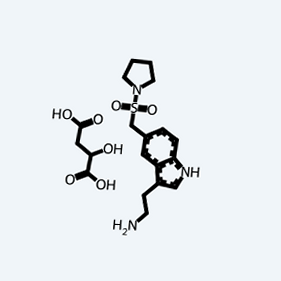 NCCc1c[nH]c2ccc(CS(=O)(=O)N3CCCC3)cc12.O=C(O)CC(O)C(=O)O